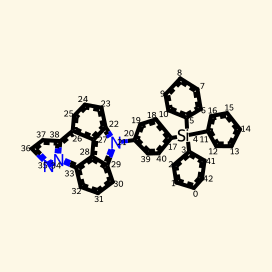 c1ccc([Si](c2ccccc2)(c2ccccc2)c2ccc(-n3c4cccc5c4c4c3cccc4n3nccc53)cc2)cc1